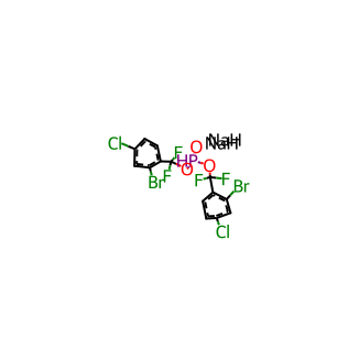 O=[PH](OC(F)(F)c1ccc(Cl)cc1Br)OC(F)(F)c1ccc(Cl)cc1Br.[NaH].[NaH]